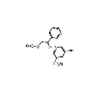 CCOC(=O)c1cncc(Br)c1.O=COCC(Cl)c1cccnc1